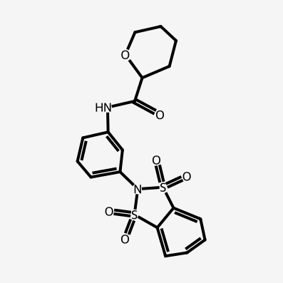 O=C(Nc1cccc(N2S(=O)(=O)c3ccccc3S2(=O)=O)c1)C1CCCCO1